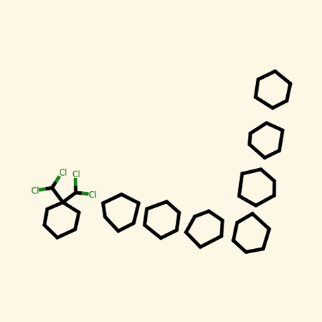 C1CCCCC1.C1CCCCC1.C1CCCCC1.C1CCCCC1.C1CCCCC1.C1CCCCC1.C1CCCCC1.ClC(Cl)C1(C(Cl)Cl)CCCCC1